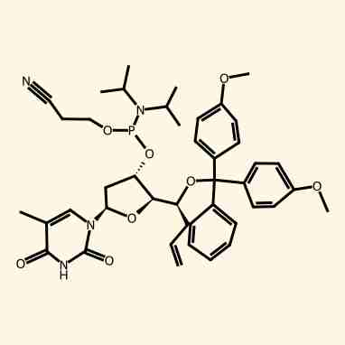 C=CC[C@H](OC(c1ccccc1)(c1ccc(OC)cc1)c1ccc(OC)cc1)[C@H]1O[C@@H](n2cc(C)c(=O)[nH]c2=O)C[C@@H]1OP(OCCC#N)N(C(C)C)C(C)C